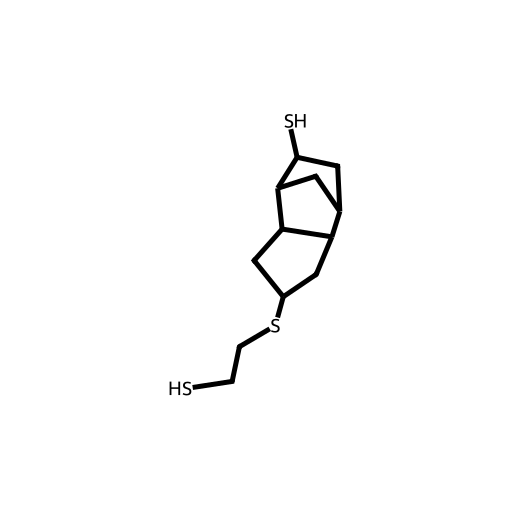 SCCSC1CC2C3CC(S)C(C3)C2C1